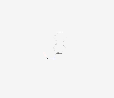 CC(=O)Nc1cc(Br)c2ccccc2c1